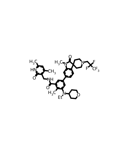 CCN(c1cc(-c2ccc3c(c2)N(C)C(=O)C32CCN(CC(F)(F)C(F)(F)F)CC2)cc(C(=O)NCc2c(C)cc(C)[nH]c2=O)c1C)C1CCOCC1